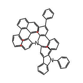 c1ccc(-c2ccc(N(c3ccc4c(c3)c3ccccc3n4-c3ccccc3)c3ccccc3-c3cccc4cccc(-c5ccccc5)c34)c(-c3ccccc3)c2)cc1